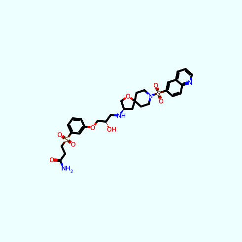 NC(=O)CCS(=O)(=O)c1cccc(OC[C@@H](O)CN[C@H]2COC3(CCN(S(=O)(=O)c4ccc5ncccc5c4)CC3)C2)c1